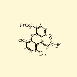 CCOC(=O)c1ccccc1Sc1c(Cl)ccc(C(F)(F)F)c1/C=N/[S+]([O-])C(C)(C)C